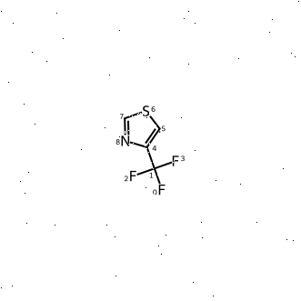 FC(F)(F)c1[c]scn1